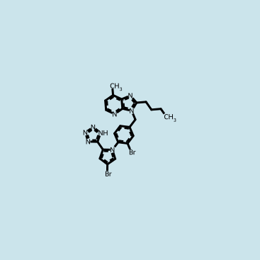 CCCCc1nc2c(C)ccnc2n1Cc1ccc(-n2cc(Br)cc2-c2nnn[nH]2)c(Br)c1